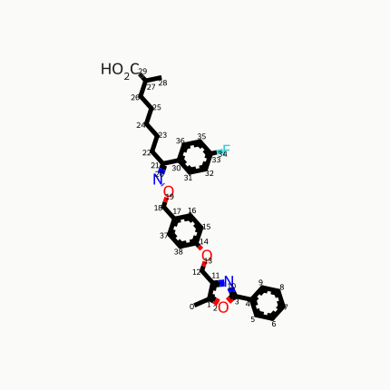 Cc1oc(-c2ccccc2)nc1COc1ccc(CON=C(CCCCCC(C)C(=O)O)c2ccc(F)cc2)cc1